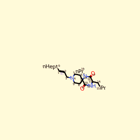 CCCCCCC/C=C/CN1CCC2(CC1)C(=O)NC(CC(C)C)C(=O)N2CCC